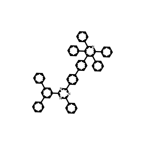 c1ccc(-c2cc(-c3ccccc3)cc(-c3nc(-c4ccccc4)nc(-c4ccc(-c5ccc(-c6c(-c7ccccc7)c(-c7ccccc7)nc(-c7ccccc7)c6-c6ccccc6)cc5)cc4)n3)c2)cc1